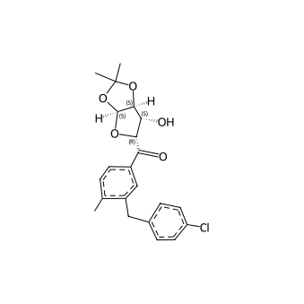 Cc1ccc(C(=O)[C@@H]2O[C@H]3OC(C)(C)O[C@H]3[C@@H]2O)cc1Cc1ccc(Cl)cc1